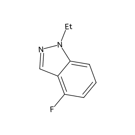 CCn1ncc2c(F)cccc21